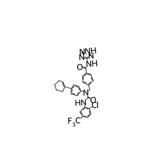 O=C(Nc1nn[nH]n1)c1ccc(CN(C(=O)Nc2cc(C(F)(F)F)ccc2Cl)c2ccc(C3=CCCCC3)cc2)cc1